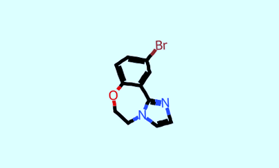 Brc1ccc2c(c1)-c1nccn1CCO2